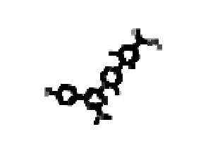 Cc1cc(C(N)=O)cnc1N1CCN(c2cc(-c3ccc(F)cc3)nc(N(C)C)n2)C(C)C1